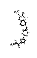 CC[C@@H]1Oc2ccc(CN3CCN(c4ccc(C(=O)NC)s4)CC3)cc2NC1=O